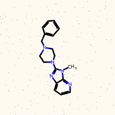 Cn1c(N2CCN(Cc3ccccc3)CC2)nc2cccnc21